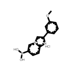 COc1cccc(-c2cn3cc(B(O)O)ccc3n2)c1.Cl